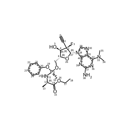 C#C[C@@]1(F)[C@H](O)[C@@H](COP(=S)(N[C@H](C)C(=O)OCC)Oc2ccccc2)O[C@H]1n1cnc2c(N(C)C)nc(N)nc21